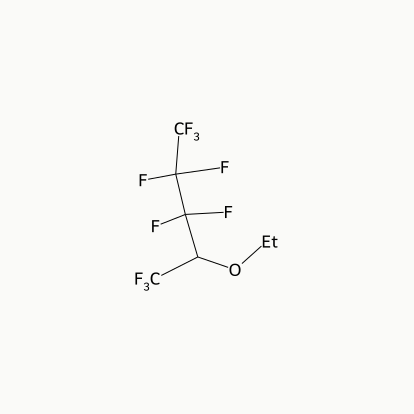 CCOC(C(F)(F)F)C(F)(F)C(F)(F)C(F)(F)F